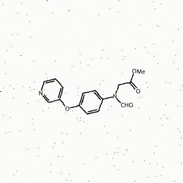 COC(=O)CN(C=O)c1ccc(Oc2cccnc2)cc1